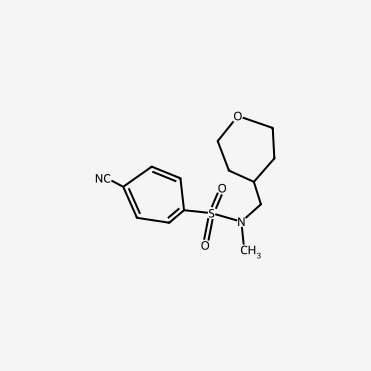 CN(CC1CCOCC1)S(=O)(=O)c1ccc(C#N)cc1